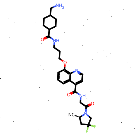 N#C[C@@H]1CC(F)(F)CN1C(=O)CNC(=O)c1ccnc2c(OCCCNC(=O)C3CCC(CN)CC3)cccc12